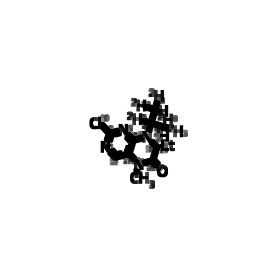 [2H]C([2H])([2H])C([2H])(N1c2nc(Cl)ncc2N(C)C(=O)[C@H]1CC)C([2H])([2H])[2H]